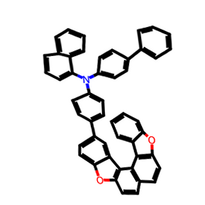 c1ccc(-c2ccc(N(c3ccc(-c4ccc5oc6ccc7ccc8oc9ccccc9c8c7c6c5c4)cc3)c3cccc4ccccc34)cc2)cc1